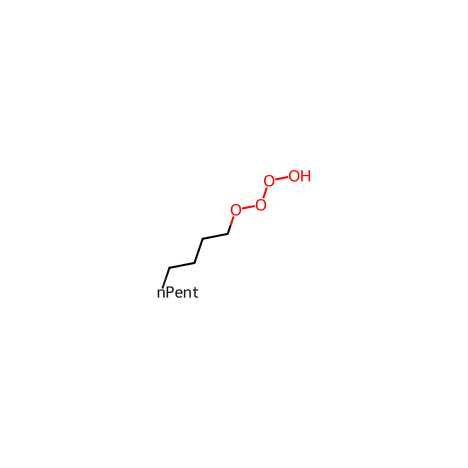 [CH2]CCCCCCCCOOOO